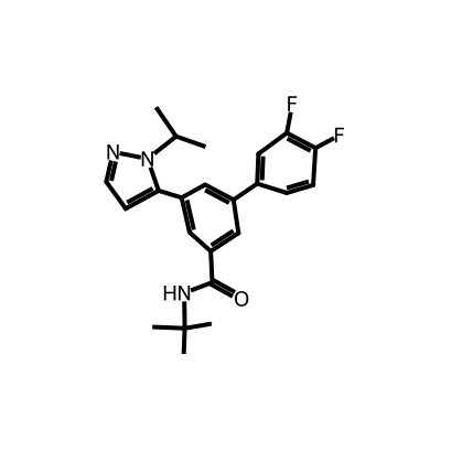 CC(C)n1nccc1-c1cc(C(=O)NC(C)(C)C)cc(-c2ccc(F)c(F)c2)c1